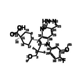 COCC(C)(C)c1c([C@H]2CC[C@](C)(C(=O)O)CC2)c2nc3[nH]ncc3cc2n1-c1ccc(F)c(OC)c1